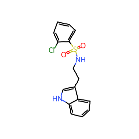 O=S(=O)(NCCc1c[nH]c2ccccc12)c1ccccc1Cl